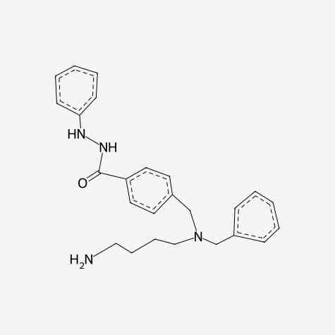 NCCCCN(Cc1ccccc1)Cc1ccc(C(=O)NNc2ccccc2)cc1